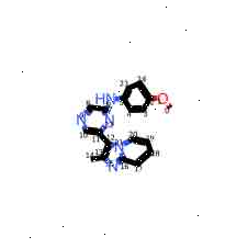 COc1ccc(Nc2cncc(-c3c(C)nc4ccccn34)n2)cc1